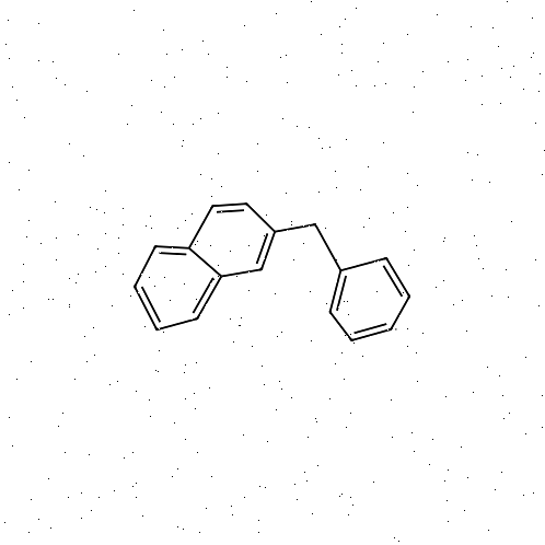 [c]1ccc(Cc2ccc3ccccc3c2)cc1